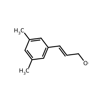 Cc1cc(C)cc(C=CC[O])c1